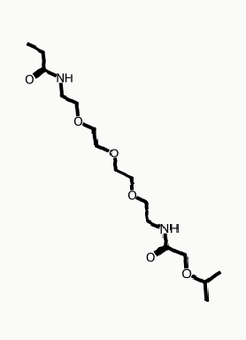 CCC(=O)NCCOCCOCCOCCNC(=O)COC(C)C